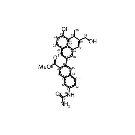 COC(=O)c1cc2cc(NC(N)=O)ccc2cc1-c1cc2c3c(c(O)ccc3c1)C(C)C(CO)=C2